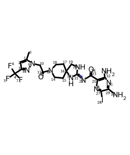 Cc1cc(C(F)(F)F)nn1CC(=O)N1CCC2(CC1)CN/C(=N\C(=O)c1nc(I)c(N)nc1N)N2